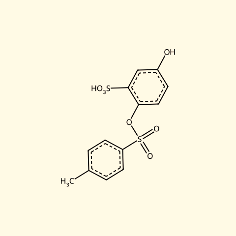 Cc1ccc(S(=O)(=O)Oc2ccc(O)cc2S(=O)(=O)O)cc1